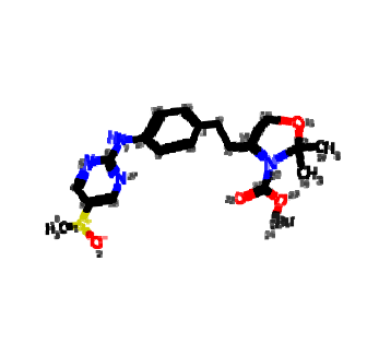 C[S+]([O-])c1cnc(Nc2ccc(CCC3COC(C)(C)N3C(=O)OC(C)(C)C)cc2)nc1